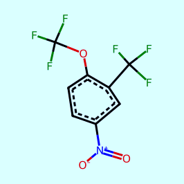 O=[N+]([O-])c1ccc(OC(F)(F)F)c(C(F)(F)F)c1